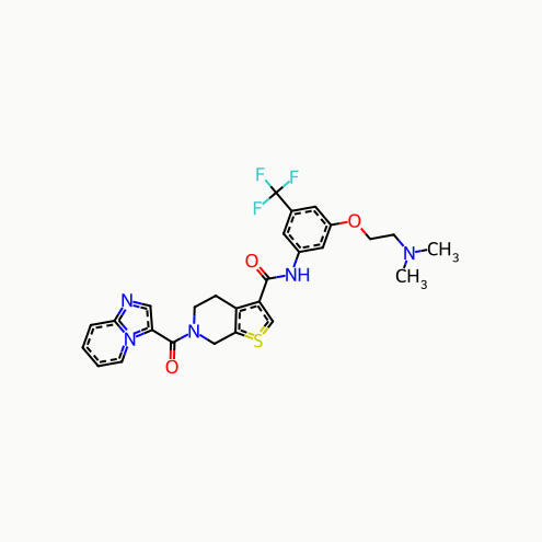 CN(C)CCOc1cc(NC(=O)c2csc3c2CCN(C(=O)c2cnc4ccccn24)C3)cc(C(F)(F)F)c1